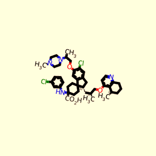 CC(COc1cc2c(cc1Cl)C[C@H](C[C@@H](C)COc1ccnc3c1[C@H](C)CCC3)C21CCC(Nc2cccc(Cl)c2)(C(=O)O)CC1)N1CCN(C)CC1